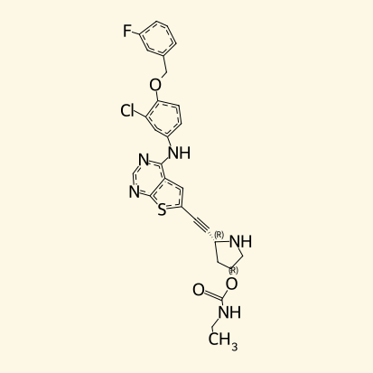 CCNC(=O)O[C@H]1CN[C@@H](C#Cc2cc3c(Nc4ccc(OCc5cccc(F)c5)c(Cl)c4)ncnc3s2)C1